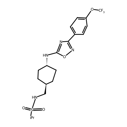 CC(C)S(=O)(=O)NC[C@H]1CC[C@H](Nc2nc(-c3ccc(OC(F)(F)F)cc3)no2)CC1